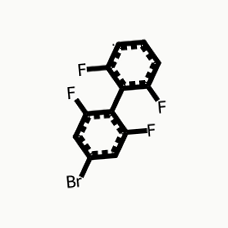 Fc1[c]ccc(F)c1-c1c(F)cc(Br)cc1F